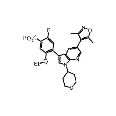 CCOc1cc(C(=O)O)c(F)cc1-c1cn(C2CCOCC2)c2ncc(-c3c(C)noc3C)cc12